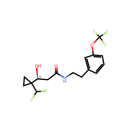 O=C(C[C@H](O)C1(C(F)F)CC1)NCCc1cccc(OC(F)(F)F)c1